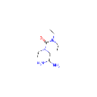 CCN(CC)C(=O)N(CC)CC(N)N